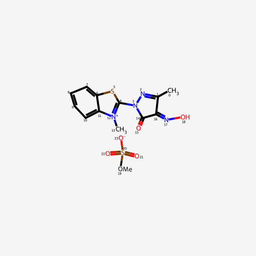 CC1=NN(c2sc3ccccc3[n+]2C)C(=O)/C1=N/O.COS(=O)(=O)[O-]